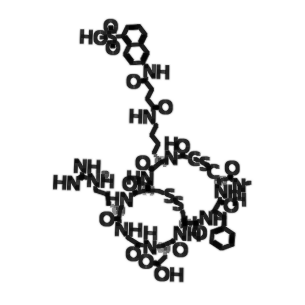 CNC(=O)[C@@H]1CSCC(=O)N[C@@H](CCCCNC(=O)CCC(=O)Nc2ccc3c(S(=O)(=O)O)cccc3c2)C(=O)N[C@H]2CSSC[C@H](NC(=O)[C@H](CC(=O)O)NC(=O)CNC(=O)[C@H](CCCNC(=N)N)NC2=O)C(=O)NC(Cc2ccccc2)C(=O)N1